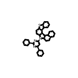 c1ccc(-c2cc(-n3c4ccc5ccccc5c4c4c5c(ccc43)sc3ccccc35)nc(-c3ccccc3)n2)cc1